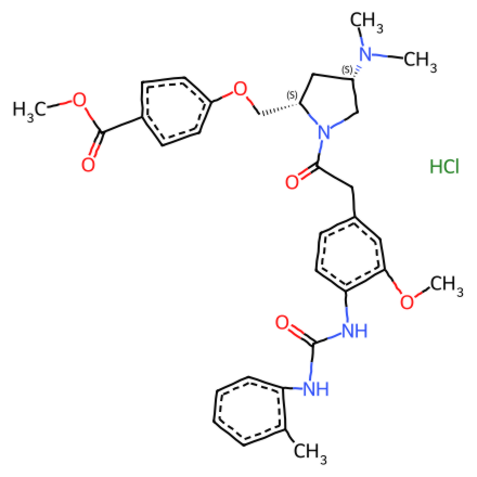 COC(=O)c1ccc(OC[C@@H]2C[C@H](N(C)C)CN2C(=O)Cc2ccc(NC(=O)Nc3ccccc3C)c(OC)c2)cc1.Cl